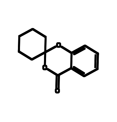 O=C1OC2(CCCCC2)Oc2ccccc21